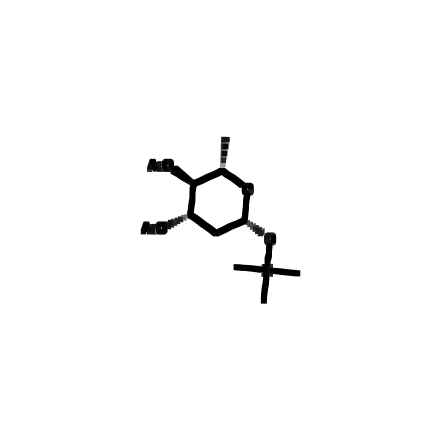 CC(=O)O[C@H]1[C@H](C)O[C@H](O[Si](C)(C)C)C[C@@H]1OC(C)=O